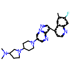 Cc1cc2c(-c3cnn4cc(N5CCC(N6CCC(N(C)C)C6)CC5)cnc34)ccnc2cc1F